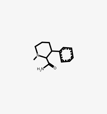 CN1CCC[C](c2ccccc2)C1C(N)=O